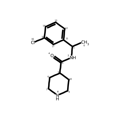 CC(NC(=O)C1CCNCC1)c1cccc(Cl)c1